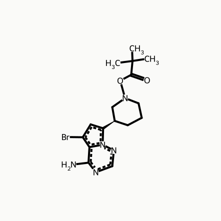 CC(C)(C)C(=O)ON1CCC[C@@H](c2cc(Br)c3c(N)ncnn23)C1